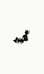 CC(NC(=O)c1cc(-c2cnn3cc(-c4cnn(C)c4)cnc23)cs1)C1CC1